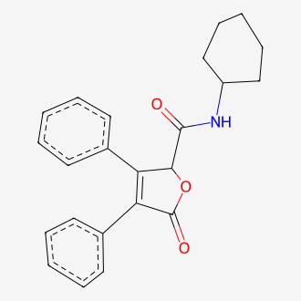 O=C1OC(C(=O)NC2CCCCC2)C(c2ccccc2)=C1c1ccccc1